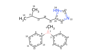 CB(c1ccccc1)c1ccccc1.CC(C)CCCc1cnc[nH]1